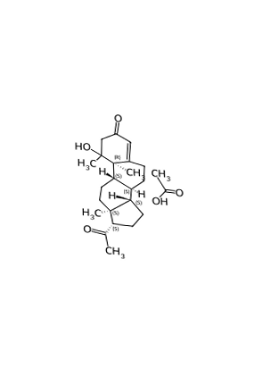 CC(=O)O.CC(=O)[C@H]1CC[C@H]2[C@@H]3CCC4=CC(=O)CC(C)(O)[C@]4(C)[C@H]3CC[C@]12C